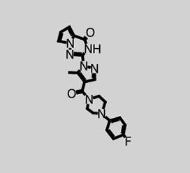 Cc1c(C(=O)N2CCN(c3ccc(F)cc3)CC2)cnn1-c1nn2cccc2c(=O)[nH]1